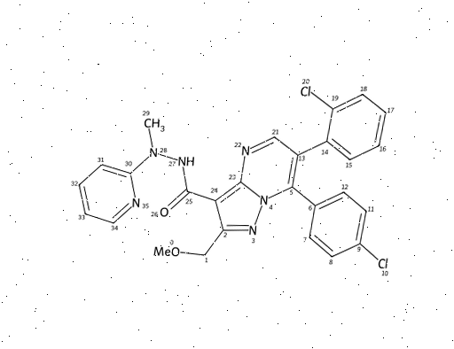 COCc1nn2c(-c3ccc(Cl)cc3)c(-c3ccccc3Cl)cnc2c1C(=O)NN(C)c1ccccn1